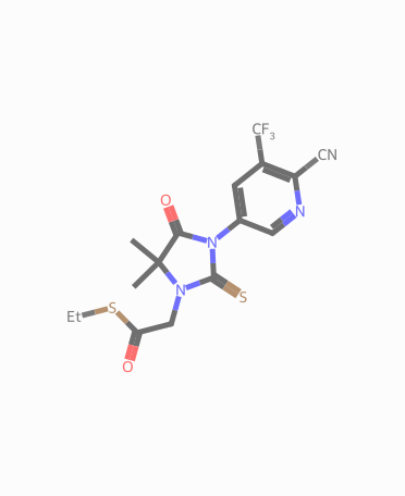 CCSC(=O)CN1C(=S)N(c2cnc(C#N)c(C(F)(F)F)c2)C(=O)C1(C)C